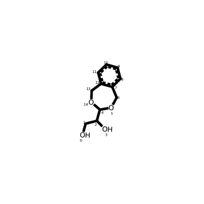 OCC(O)C1OCc2ccccc2CO1